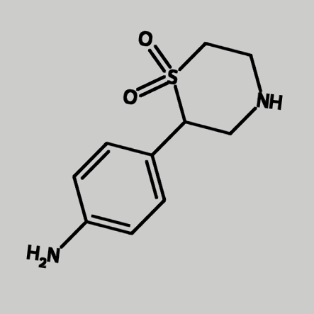 Nc1ccc(C2CNCCS2(=O)=O)cc1